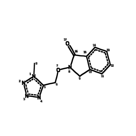 Cn1nnnc1CON1Cc2ccccc2C1=O